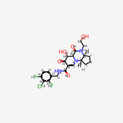 C[C@H]1CC[C@@H]2[C@H]1N1C=C(C(=O)NCc3ccc(F)c(Cl)c3F)C(=O)C(O)C1C(=O)N2CCO